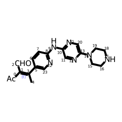 CC(=O)/C(C=O)=C(\C)c1ccc(Nc2cnc(N3CCNCC3)cn2)nc1